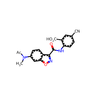 CC(=O)N(C)c1ccc2c(C(=O)Nc3ccc(C#N)cc3C(=O)O)noc2c1